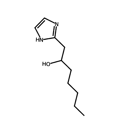 CCCCCC(O)Cc1ncc[nH]1